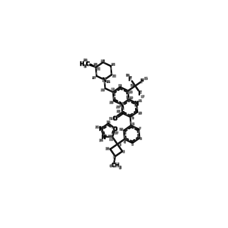 CC1CC(c2cccc(-c3cnc4c(C(F)(F)F)cc(CN5CCC[C@H](C)C5)cn4c3=O)c2)(c2nnco2)C1